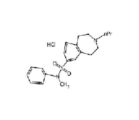 CCCN1CCc2ccc(S(=O)(=O)N(C)c3ccccc3)cc2CC1.Cl